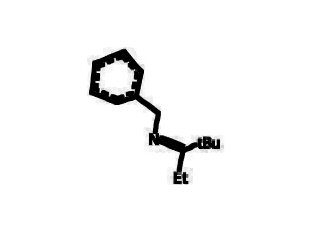 CC/C(=N/Cc1ccccc1)C(C)(C)C